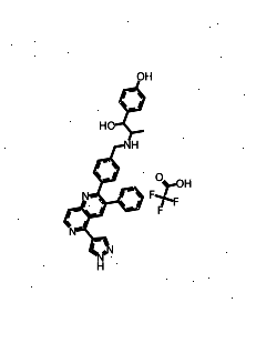 CC(NCc1ccc(-c2nc3ccnc(-c4cn[nH]c4)c3cc2-c2ccccc2)cc1)C(O)c1ccc(O)cc1.O=C(O)C(F)(F)F